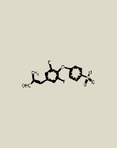 C/C(C=O)=C\c1cc(F)c(Oc2ccc(S(=O)(=O)Cl)cc2)c(F)c1